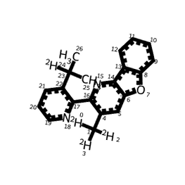 [2H]C([2H])([2H])c1cc2oc3ccccc3c2nc1-c1ncccc1C([2H])(C)C